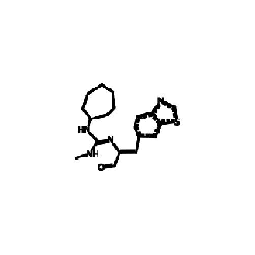 CN/C(=N\C(C=O)=C/c1ccc2ncsc2c1)NC1CCCCCC1